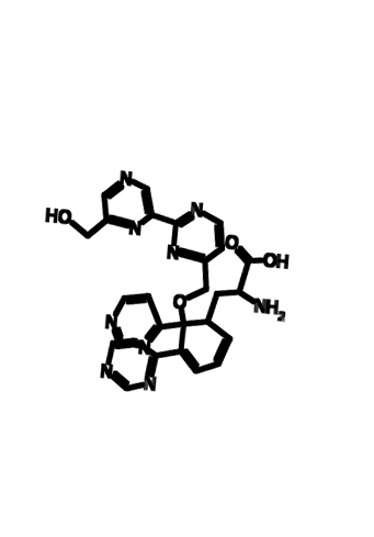 NC(CC1C=CC=C(c2ccncn2)C1(OCc1ccnc(-c2cncc(CO)n2)n1)c1ccncn1)C(=O)O